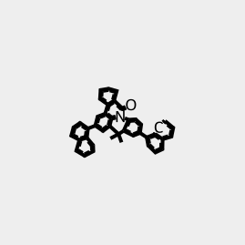 CC1(C)c2cc(-c3cccc4ccccc34)ccc2-n2c(=O)c3ccccc3c3cc(-c4cccc5ccccc45)cc1c32